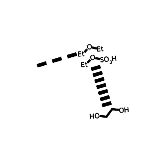 C=C.C=C.C=C.C=C.C=C.C=C.C=C.C=C.C=C.C=C.CCOCC.CCOS(=O)(=O)O.OCCO